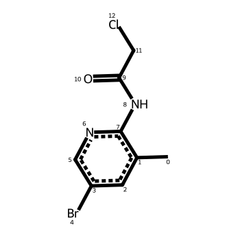 Cc1cc(Br)cnc1NC(=O)CCl